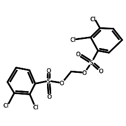 O=S(=O)(OCOS(=O)(=O)c1cccc(Cl)c1Cl)c1cccc(Cl)c1Cl